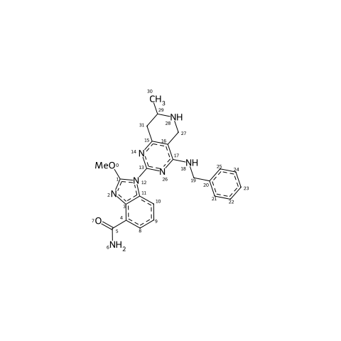 COc1nc2c(C(N)=O)cccc2n1-c1nc2c(c(NCc3ccccc3)n1)CNC(C)C2